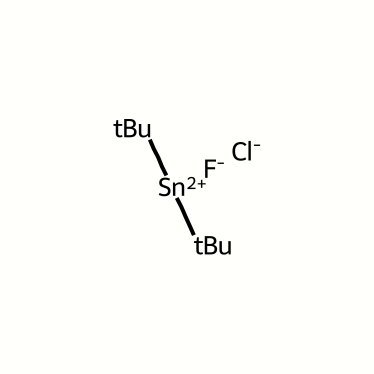 C[C](C)(C)[Sn+2][C](C)(C)C.[Cl-].[F-]